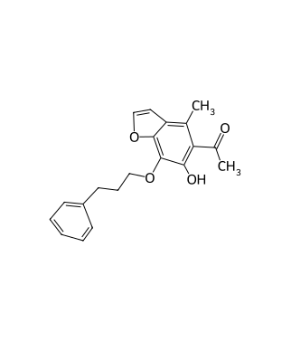 CC(=O)c1c(O)c(OCCCc2ccccc2)c2occc2c1C